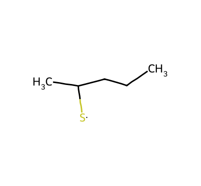 CCCC(C)[S]